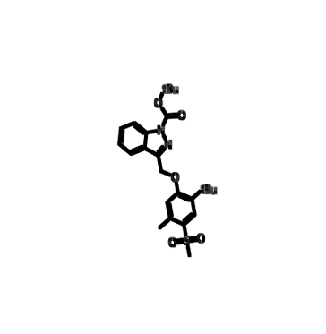 Cc1cc(OCc2nn(C(=O)OC(C)(C)C)c3ccccc23)c(C(C)(C)C)cc1S(C)(=O)=O